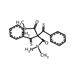 CN(N)C(=O)C(C(=O)N(C)N)(C(=S)c1ccccc1)C(=S)c1ccccc1